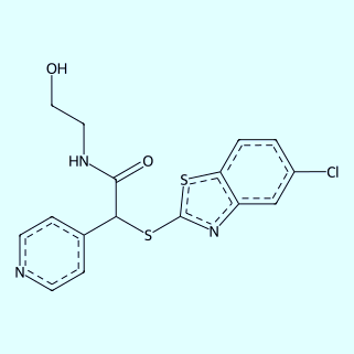 O=C(NCCO)C(Sc1nc2cc(Cl)ccc2s1)c1ccncc1